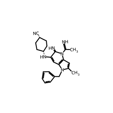 CC(=N)n1c(=N)c(N[C@H]2CC[C@@H](C#N)CC2)cc2c1cc(C)n2Cc1ccccc1